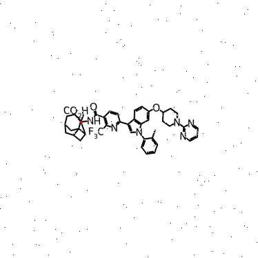 Cc1ccccc1-n1cc(-c2ccc(C(=O)NC3(C(=O)O)C4CC5CC6CC3C6(C5)C4)c(C(F)(F)F)n2)c2ccc(OC3CCN(c4ncccn4)CC3)cc21